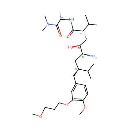 COCCCOc1cc(C[C@@H](C[C@H](N)[C@@H](O)C[C@H](C(=O)N[C@@H](C)C(=O)N(C)C)C(C)C)C(C)C)ccc1OC